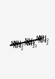 C=CCC(N)C(N)C(N)C/C=C/CCC/C=C/C(N)C(N)C(N)C/C=C/CCC/C=C/C(N)C(N)C(C)N